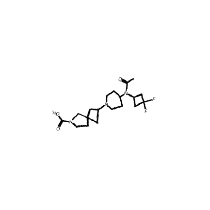 CC(=O)N(C1CCN(C2CC3(CCN(C(=O)O)C3)C2)CC1)C1CC(F)(F)C1